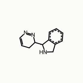 C1=CN=NC([C]2NCc3ccccc32)C1